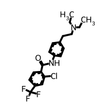 CCN(CC)CCc1ccc(NC(=O)c2ccc(C(F)(F)F)cc2Cl)cc1